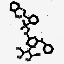 CC(O)N(c1nc(NOS(=O)(=O)c2ccccc2C=Cc2ccccc2S(=O)(=O)O)nc(Nc2ccccc2)n1)C(C)O